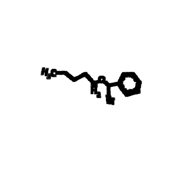 CCCC[SiH2]OC(Br)c1ccccc1